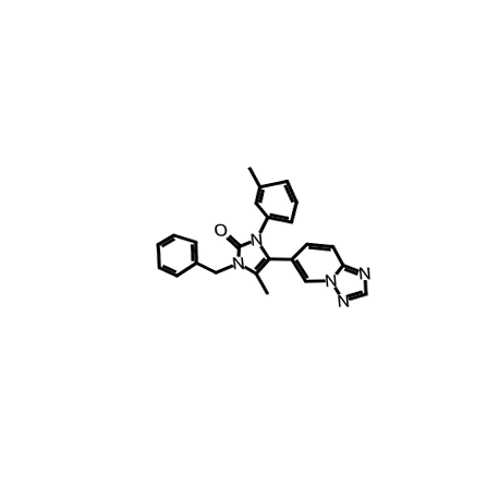 Cc1cccc(-n2c(-c3ccc4ncnn4c3)c(C)n(Cc3ccccc3)c2=O)c1